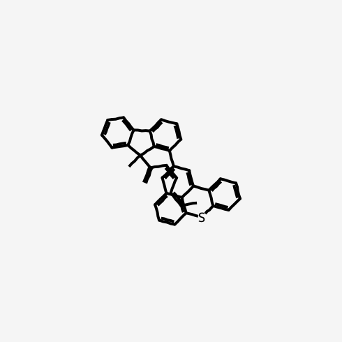 C=C(/C=C\C=C/C)C1(C)c2ccccc2-c2cccc(-c3cc4c5c(cccc5c3)Sc3ccccc3-4)c21